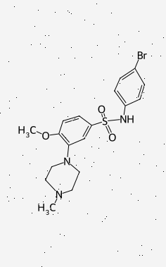 COc1ccc(S(=O)(=O)Nc2ccc(Br)cc2)cc1N1CCN(C)CC1